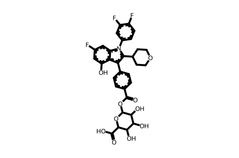 O=C(OC1OC(C(=O)O)C(O)C(O)C1O)c1ccc(-c2c(C3CCOCC3)n(-c3ccc(F)c(F)c3)c3cc(F)cc(O)c23)cc1